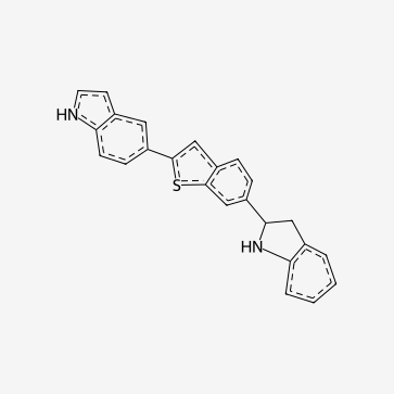 c1ccc2c(c1)CC(c1ccc3cc(-c4ccc5[nH]ccc5c4)sc3c1)N2